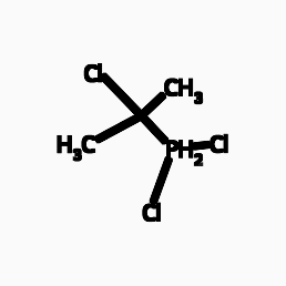 CC(C)(Cl)[PH2](Cl)Cl